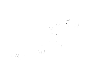 O=C1CCC(N2C(=O)c3ccc(NCCC4CNC4)cc3C2=O)C(=O)N1